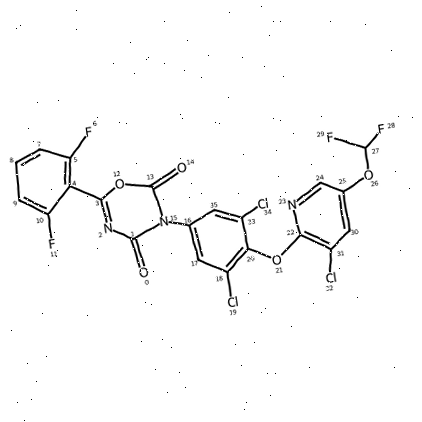 O=c1nc(-c2c(F)cccc2F)oc(=O)n1-c1cc(Cl)c(Oc2ncc(OC(F)F)cc2Cl)c(Cl)c1